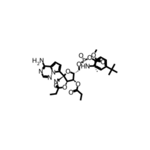 CCC(=O)O[C@H]1[C@@H](OC(=O)CC)[C@](C#N)(c2ccc3c(N)ncnn23)O[C@@H]1COP(=O)(N[C@@H](C)C(=O)OC)Oc1ccc(C(C)(C)C)cc1